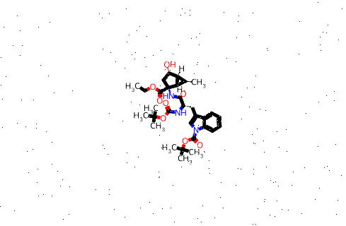 CCOC(=O)[C@]1(NC(=O)[C@H](Cc2cn(C(=O)OC(C)(C)C)c3ccccc23)NC(=O)OC(C)(C)C)C[C@H](O)[C@H]2[C@H](C)[C@H]21